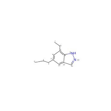 CCCc1cc(CC)c2[nH]ncc2c1